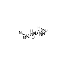 Cc1nc(NC2CCN(C(=O)NC3CCN(C(=O)/C=C/CN(C)C)C3)CC2)c2ncn(C(C)C)c2n1